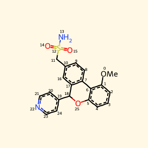 COc1cccc2c1-c1ccc(CS(N)(=O)=O)cc1C(c1ccncc1)O2